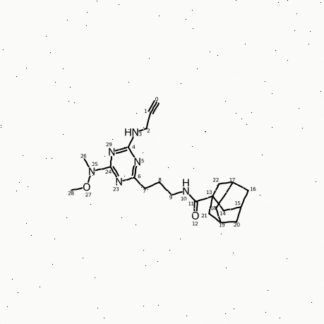 C#CCNc1nc(CCCNC(=O)C23CC4CC(CC(C4)C2)C3)nc(N(C)OC)n1